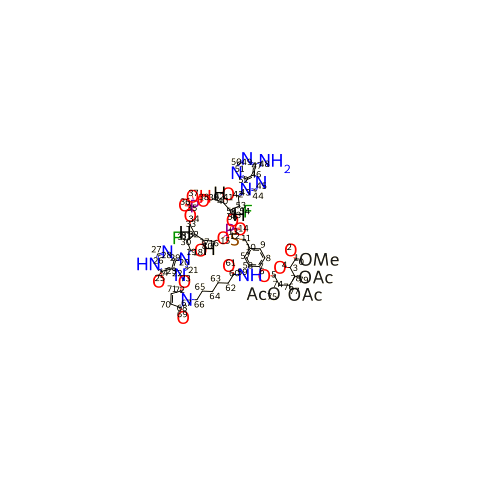 COC(=O)C1OC(Oc2ccc(CSP3(=O)OC[C@H]4O[C@@H](n5cnc6c(=O)[nH]cnc65)[C@H](F)[C@@H]4COP(=O)(O)OC[C@H]4O[C@@H](n5cnc6c(N)ncnc65)[C@H](F)[C@@H]4O3)cc2NC(=O)CCCCCN2C(=O)C=CC2=O)C(OC(C)=O)C(OC(C)=O)C1OC(C)=O